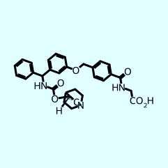 O=C(O)CNC(=O)c1ccc(COc2cccc(C(NC(=O)O[C@H]3CN4CCC3CC4)c3ccccc3)c2)cc1